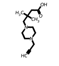 C#CCN1CCN(CC(C)(C)CC(=O)O)CC1